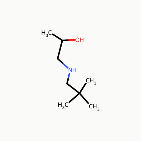 CC(O)CNCC(C)(C)C